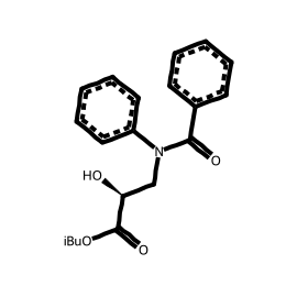 CC(C)COC(=O)[C@@H](O)CN(C(=O)c1ccccc1)c1ccccc1